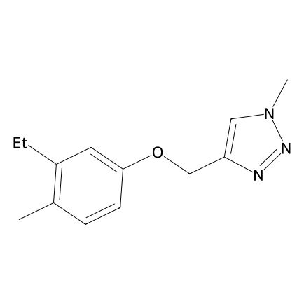 CCc1cc(OCc2cn(C)nn2)ccc1C